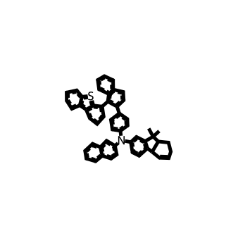 CC1(C)c2cc(N(c3ccc(-c4ccc5ccccc5c4-c4cccc5c4sc4ccccc45)cc3)c3ccc4ccccc4c3)ccc2C2C=CCCC21